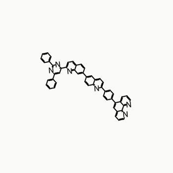 c1ccc(-c2cc(-c3ccc4ccc(-c5ccc6nc(-c7ccc(-c8cc9cccnc9c9ncccc89)cc7)ccc6c5)cc4n3)nc(-c3ccccc3)n2)cc1